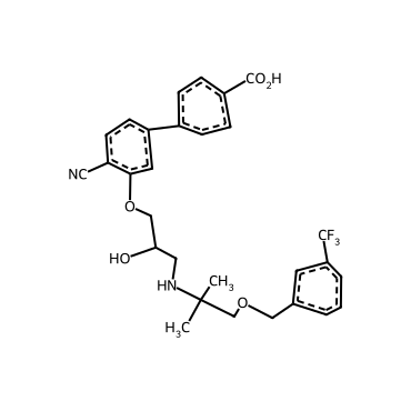 CC(C)(COCc1cccc(C(F)(F)F)c1)NCC(O)COc1cc(-c2ccc(C(=O)O)cc2)ccc1C#N